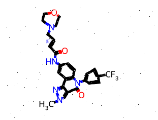 Cn1cc2c(=O)n(-c3ccc(C(F)(F)F)cc3)c3ccc(NC(=O)/C=C/CN4CCOCC4)cc3c2n1